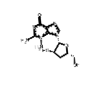 Nc1nc(=O)c2ncn([C@@H]3O[C@H](CO)C[C@H]3O)c2n1N